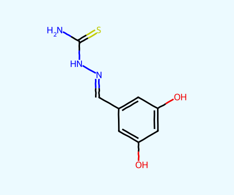 NC(=S)NN=Cc1cc(O)cc(O)c1